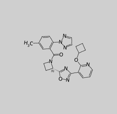 Cc1ccc(-n2nccn2)c(C(=O)N2CC[C@H]2c2nc(-c3cccnc3OC3CCC3)no2)c1